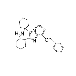 NC1(c2c(C3CCCCC3)nc3c(OCc4ccccc4)cccn23)CCCCC1